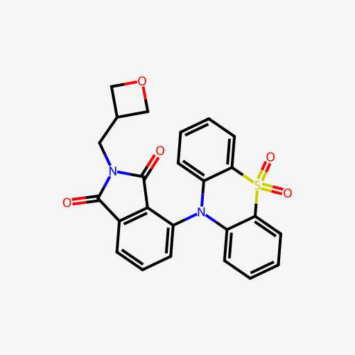 O=C1c2cccc(N3c4ccccc4S(=O)(=O)c4ccccc43)c2C(=O)N1CC1COC1